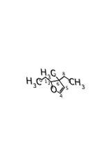 CCC1OC=CC1(C)CC